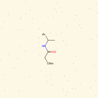 COCC(=O)NC(C)C(C)C